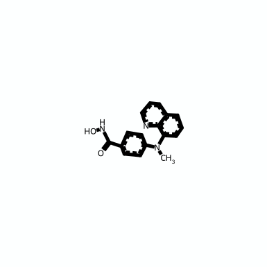 CN(c1ccc(C(=O)NO)cc1)c1cccc2cccnc12